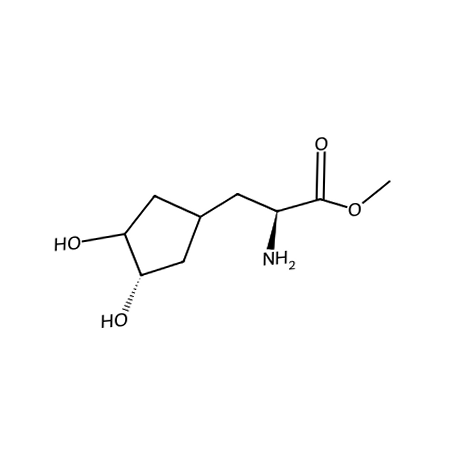 COC(=O)[C@@H](N)CC1CC(O)[C@@H](O)C1